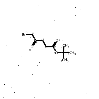 CC(C)(C)OC(=O)CCC(=O)CBr